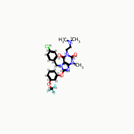 CN(C)CCn1c(=O)c2c(nc(Oc3cccc(OC(F)(F)F)c3)n2Cc2ccc(Cl)cc2)n(C)c1=O